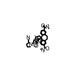 C[C@H](CC1(c2nc(=O)on2C)c2ccc(C(=O)N(C)C)cc2CCc2cc(C(=O)N(C)C)ccc21)NCC(=O)N1CCCC1C#N